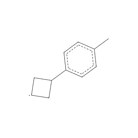 Cc1ccc(C2C[CH]C2)cc1